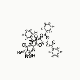 O=C(OC[C@@H]1O[C@H](c2nc3[nH]nc(Br)c3c(=O)[nH]2)[C@](O)(C(=O)c2ccccc2)[C@H]1OC(=O)c1ccccc1)c1ccccc1